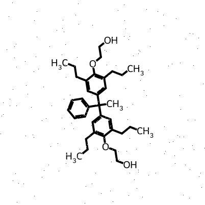 CCCc1cc(C(C)(c2ccccc2)c2cc(CCC)c(OCCO)c(CCC)c2)cc(CCC)c1OCCO